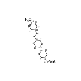 CCCCC[C@H]1CC[C@H](C2CCC(CCc3ccc(C(F)(F)F)nc3)CC2)CC1